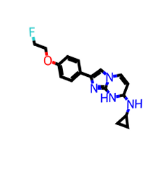 FCCOc1ccc(-c2cn3c(n2)NC(NC2CC2)C=C3)cc1